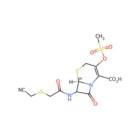 CS(=O)(=O)OC1=C(C(=O)O)N2C(=O)C(NC(=O)CSCC#N)[C@H]2SC1